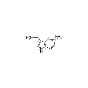 NCc1c[nH]c2ccc(N)cc12